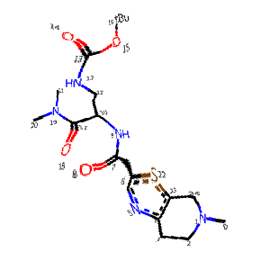 CN1CCc2nc(C(=O)NC(CNC(=O)OC(C)(C)C)C(=O)N(C)C)sc2C1